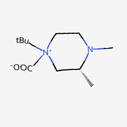 C[C@@H]1C[N+](C(=O)[O-])(C(C)(C)C)CCN1C